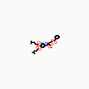 COC(=O)[C@@](N)(CCOC(=O)c1ccccc1)Cc1ccc(OC(=O)CCC(C)C)c(OC(=O)CCC(C)C)c1